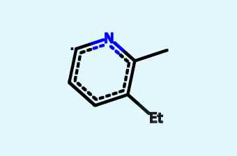 CCc1cc[c]nc1C